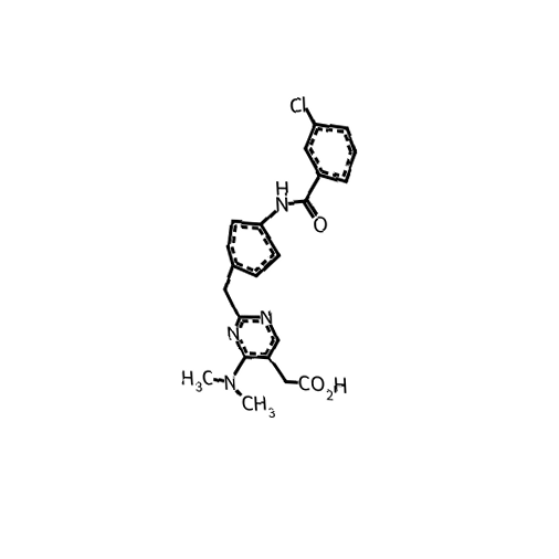 CN(C)c1nc(Cc2ccc(NC(=O)c3cccc(Cl)c3)cc2)ncc1CC(=O)O